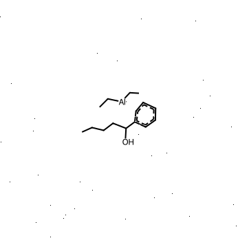 CCCCC(O)c1ccccc1.C[CH2][Al][CH2]C